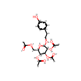 CC(=O)OC[C@H]1O[C@@H](OCCc2ccc(O)cc2)[C@H](OC(C)=O)[C@@H](OC(C)=O)[C@@H]1OC(C)=O